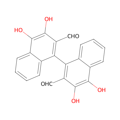 O=Cc1c(O)c(O)c2ccccc2c1-c1c(C=O)c(O)c(O)c2ccccc12